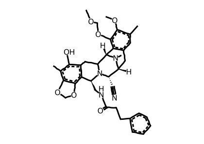 COCOc1c(OC)c(C)cc2c1[C@H]1C3Cc4c(O)c(C)c5c(c4[C@H](CNC(=O)CCc4ccccc4)N3[C@@H](C#N)[C@@H](C2)N1C)OCO5